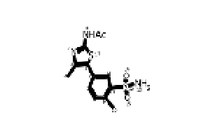 CC(=O)Nc1nc(C)c(-c2ccc(C)c(S(N)(=O)=O)c2)s1